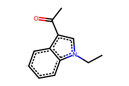 CCn1cc(C(C)=O)c2c[c]ccc21